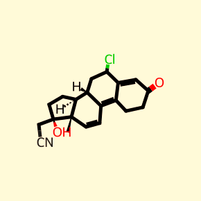 C[C@]12C=CC3=C4CCC(=O)C=C4C(Cl)C[C@H]3[C@@H]1CC[C@@]2(O)CC#N